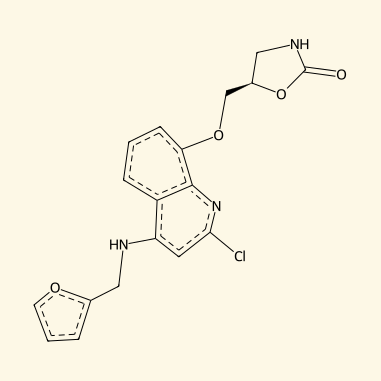 O=C1NC[C@H](COc2cccc3c(NCc4ccco4)cc(Cl)nc23)O1